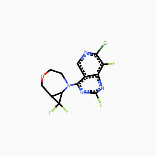 Fc1nc(N2CCOCC3C2C3(F)F)c2cnc(Cl)c(F)c2n1